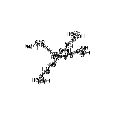 C[C@H](NC(=O)CCCCN=[N+]=[N-])C(=O)NCCCCCCCCCCC(=O)NC(COCCC(=O)NCCCNC(=O)CCCCO[C@H]1C[C@@H](O)[C@@H](O)[C@@H](CO)O1)(COCCC(=O)NCCCNC(=O)CCCCO[C@H]1C[C@@H](O)[C@@H](O)[C@@H](CO)O1)COCCC(=O)NCNC(=O)CCCCO[C@H]1C[C@@H](O)[C@@H](O)[C@@H](CO)O1